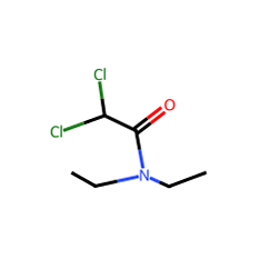 CCN(CC)C(=O)C(Cl)Cl